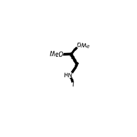 COC(CNI)OC